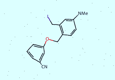 CNc1ccc(COc2cccc(C#N)c2)c(CI)c1